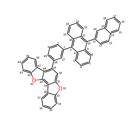 c1cc(-c2c3ccccc3c(-c3ccc4ccccc4c3)c3ccccc23)cc(-c2cc3oc4ccccc4c3c3oc4ccccc4c23)c1